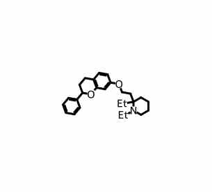 CCN1CCCCC1(CC)CCOc1ccc2c(c1)OC(c1ccccc1)CC2